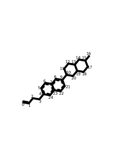 C=CCCc1ccc2cc(C3CCC4CC(C)CCC4C3)ccc2c1